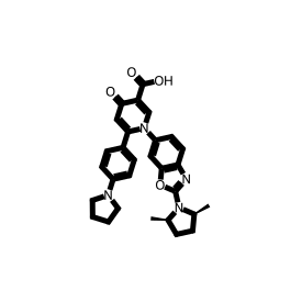 C[C@@H]1CC[C@H](C)N1c1nc2ccc(-n3cc(C(=O)O)c(=O)cc3-c3ccc(N4CCCC4)cc3)cc2o1